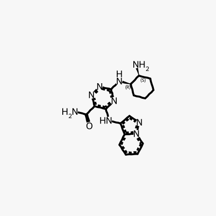 NC(=O)c1nnc(N[C@@H]2CCCC[C@@H]2N)nc1Nc1cnn2ccccc12